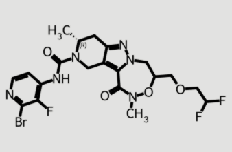 C[C@@H]1Cc2nn3c(c2CN1C(=O)Nc1ccnc(Br)c1F)C(=O)N(C)OC(COCC(F)F)C3